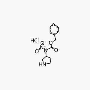 Cl.O=C(OCc1ccccc1)N([C@H]1CCNC1)[N+](=O)[O-]